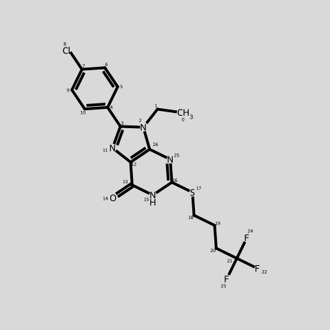 CCn1c(-c2ccc(Cl)cc2)nc2c(=O)[nH]c(SCCCC(F)(F)F)nc21